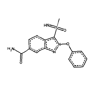 CS(=N)(=O)c1c2ccc(C(N)=O)cc2nn1Oc1ccccc1